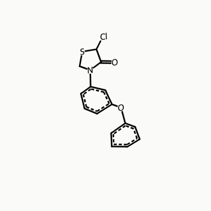 O=C1C(Cl)SCN1c1cccc(Oc2ccccc2)c1